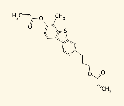 C=CC(=O)OCCCc1ccc2c(c1)sc1c(C)c(OC(=O)C=C)ccc12